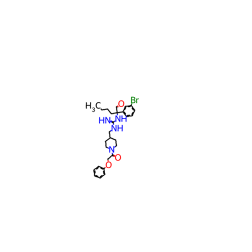 CCCCC(C=O)(NC(=N)NCC1CCN(C(=O)COc2ccccc2)CC1)c1cccc(Br)c1